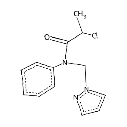 CC(Cl)C(=O)N(Cn1cccn1)c1ccccc1